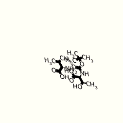 CC(C)[C@H](N)C(=O)O.C[C@@H](O)[C@H](NC(=O)OC(C)(C)C)C(=O)O